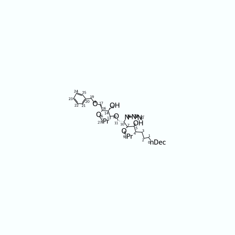 CCCCCCCCCCCCCC[C@@H](O)[C@@H](OC(C)C)[C@H](COC[C@H](O)[C@H](COCc1ccccc1)OC(C)C)N=[N+]=[N-]